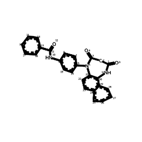 O=C1CC(=O)N(c2ccc(NC(=O)c3ccccc3)cc2)c2ccc3ccccc3c2N1